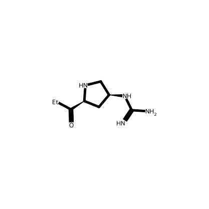 CCC(=O)[C@@H]1C[C@H](NC(=N)N)CN1